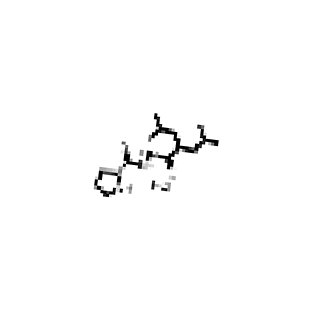 CC(C)CC(CC(C)C)C(=O)NNC(=O)[C@@H]1CCCN1.Cl